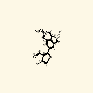 C[C@@H]1CCC(c2cc3c4c(c[n+](O)cc4c2)[C@H](C)C3)=C1C=O